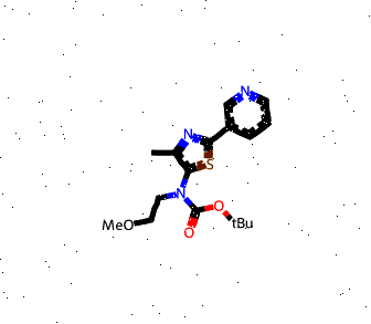 COCCN(C(=O)OC(C)(C)C)c1sc(-c2cccnc2)nc1C